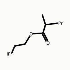 CC(C)CCOC(=O)C(C)C(C)C